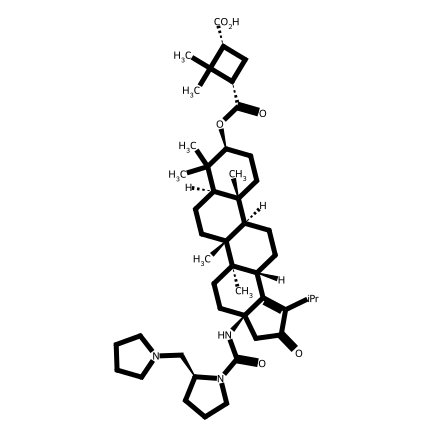 CC(C)C1=C2[C@H]3CC[C@@H]4[C@@]5(C)CC[C@H](OC(=O)[C@H]6C[C@@H](C(=O)O)C6(C)C)C(C)(C)[C@@H]5CC[C@@]4(C)[C@]3(C)CC[C@@]2(NC(=O)N2CCC[C@H]2CN2CCCC2)CC1=O